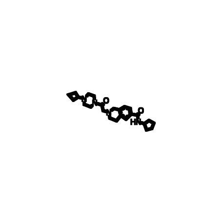 O=C(NC1CCCC1)c1ccc2c(c1)CCN(CC(=O)N1CCN(C3CCC3)CC1)C2